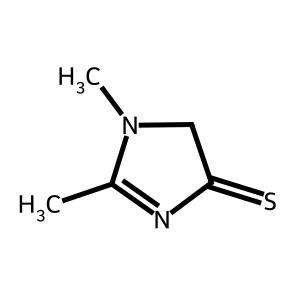 CC1=NC(=S)CN1C